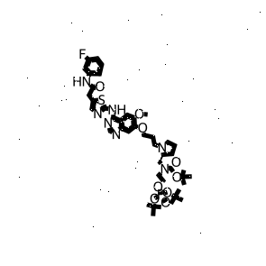 COc1cc2c(Nc3ncc(CC(=O)Nc4cccc(F)c4)s3)ncnc2cc1OCCCN1CCC[C@H]1CN(CCOP(=O)(OC(C)(C)C)OC(C)(C)C)C(=O)OC(C)(C)C